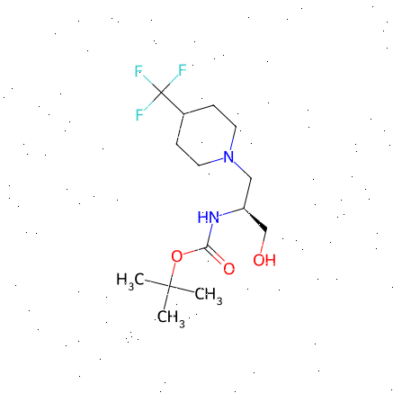 CC(C)(C)OC(=O)N[C@H](CO)CN1CCC(C(F)(F)F)CC1